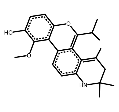 COc1c(O)ccc2c1-c1ccc3c(c1=C(C(C)C)O2)=C(C)CC(C)(C)N3